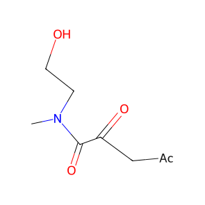 CC(=O)CC(=O)C(=O)N(C)CCO